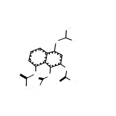 CC(=O)Nc1cccc2c(OC(C)C)cc(OC(C)=O)c(OC(C)=O)c12